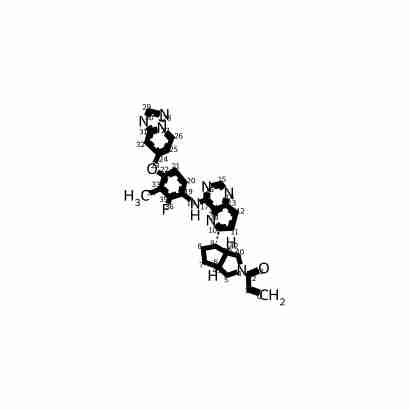 C=CC(=O)N1C[C@H]2CC[C@H](c3ccc4ncnc(Nc5ccc(Oc6ccn7ncnc7c6)c(C)c5F)c4n3)[C@H]2C1